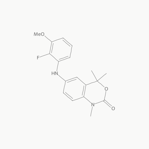 COc1cccc(Nc2ccc3c(c2)C(C)(C)OC(=O)N3C)c1F